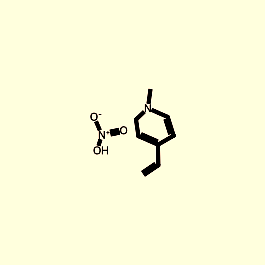 C=CC1=CCN(C)C=C1.O=[N+]([O-])O